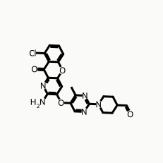 Cc1nc(N2CCC(C=O)CC2)ncc1Oc1cc2oc3cccc(Cl)c3c(=O)c2nc1N